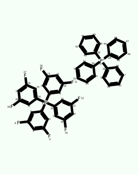 Fc1cc(F)cc([B-](c2cc(F)cc(F)c2)(c2cc(F)cc(F)c2)c2cc(F)cc(F)c2)c1.c1ccc([P+](c2ccccc2)(c2ccccc2)c2ccccc2)cc1